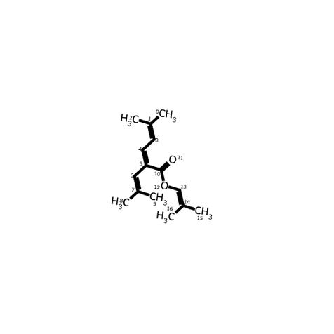 CC(C)=CC=C(C=C(C)C)C(=O)OC=C(C)C